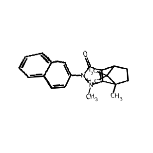 Cn1c2c(c(=O)n1-c1ccc3ccccc3c1)C1CCC2(C)C1(C)C